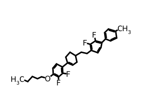 CCCCCOc1ccc(C2=CCC(CCc3ccc(-c4ccc(C)cc4)c(F)c3F)CC2)c(F)c1F